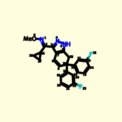 CO/N=C(/c1n[nH]c2c1C=CC(c1cccc(F)c1)(c1cccc(F)c1)C2)C1CC1